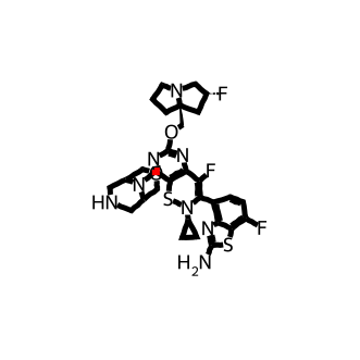 Nc1nc2c(C3=C(F)c4nc(OC[C@@]56CCCN5C[C@H](F)C6)nc(N5C6CNCC5COC6)c4SN3C3CC3)ccc(F)c2s1